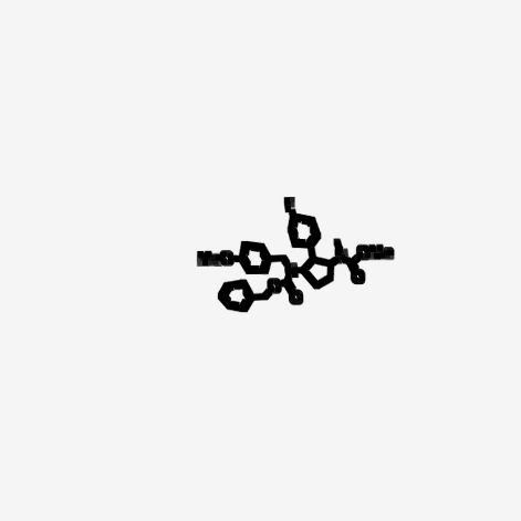 COC(=O)N(C)C1CCC(N(Cc2ccc(OC)cc2)C(=O)OCc2ccccc2)C1c1ccc(F)cc1